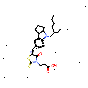 CCCCC(CC)CN1c2ccc(/C=C3/SC(=S)N(CCC(=O)O)C3=O)cc2C2CCCC21